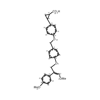 CON=C(COc1ccc(COc2ccc(C3CC3C(=O)O)cc2)cc1)c1ccc(OC)cc1